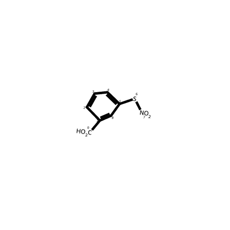 O=C(O)c1cccc(S[N+](=O)[O-])c1